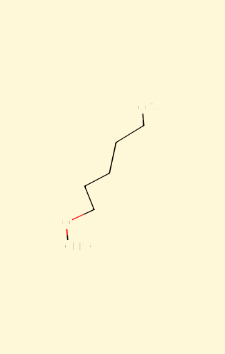 CC(=O)OCCCCCOC=O